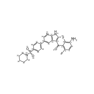 Nc1ccc(F)c(C(=O)c2c[nH]c3ncc(-c4ccc(S(=O)(=O)N5CCCCC5)cc4)cc23)c1F